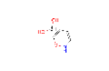 C1=CNOC=C1.OBO